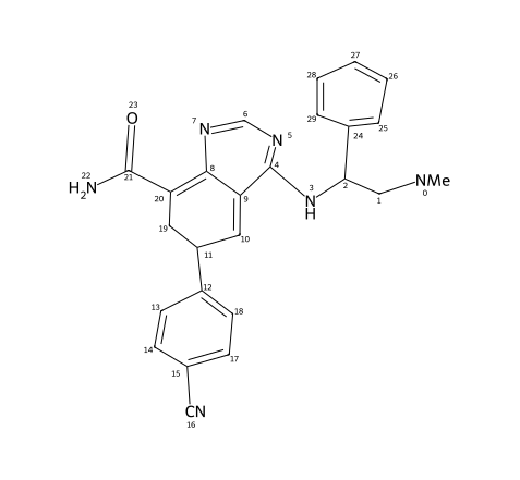 CNCC(Nc1ncnc2c1=CC(c1ccc(C#N)cc1)CC=2C(N)=O)c1ccccc1